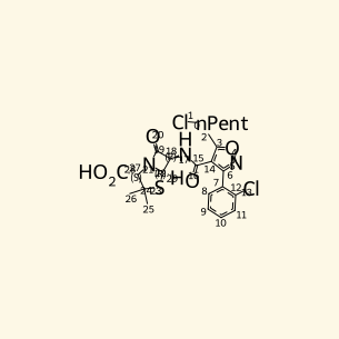 CCCCCCl.Cc1onc(-c2ccccc2Cl)c1C(=O)N[C@@H]1C(=O)N2[C@@H]1SC(C)(C)[C@@H]2C(=O)O